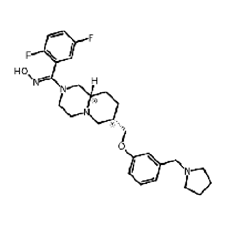 ON=C(c1cc(F)ccc1F)N1CCN2C[C@@H](COc3cccc(CN4CCCC4)c3)CC[C@H]2C1